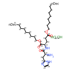 CCCCCCCCCCCCCCCCCCOC(=O)CC[C@@H](NC(=O)[C@@H](N)Cc1ncc[nH]1)C(=O)OCCCCCCCCCCCCCCCCCC.Cl.Cl